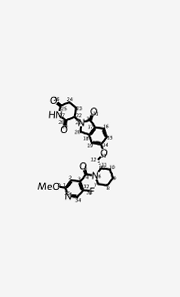 COc1cc(C(=O)N2CCCC[C@H]2COc2ccc3c(c2)CN(C2CCC(=O)NC2=O)C3=O)c(F)cn1